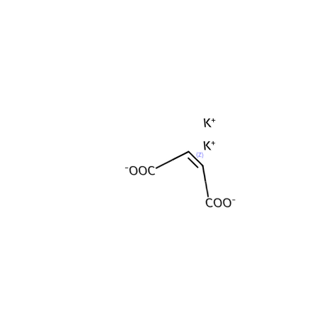 O=C([O-])/C=C\C(=O)[O-].[K+].[K+]